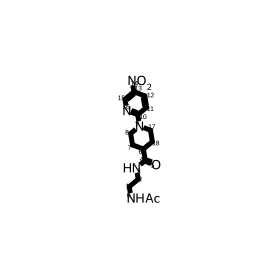 CC(=O)NCCNC(=O)C1CCN(c2ccc([N+](=O)[O-])cn2)CC1